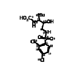 CC(C)(C)C(NC(=O)O)C(O)CNS(=O)(=O)c1ccc(Cl)cc1Cl